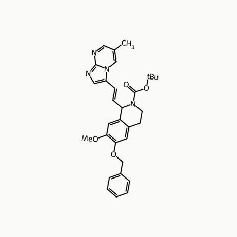 COc1cc2c(cc1OCc1ccccc1)CCN(C(=O)OC(C)(C)C)C2/C=C/c1cnc2ncc(C)cn12